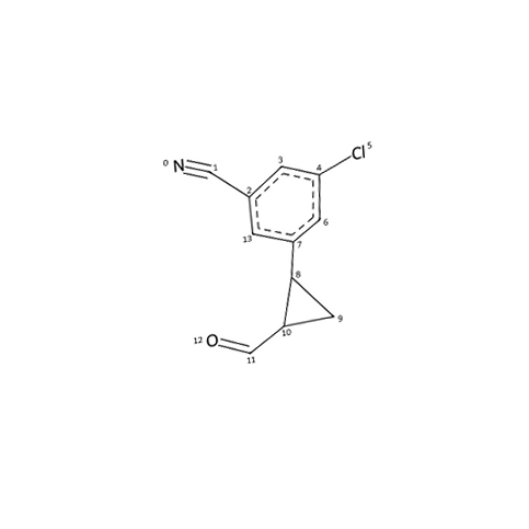 N#Cc1cc(Cl)cc(C2CC2C=O)c1